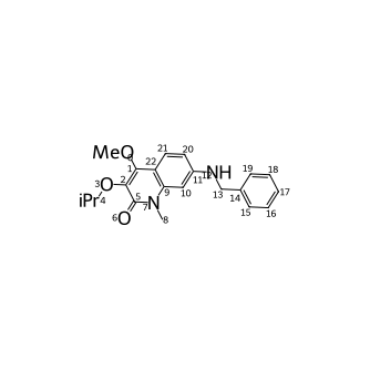 COc1c(OC(C)C)c(=O)n(C)c2cc(NCc3ccccc3)ccc12